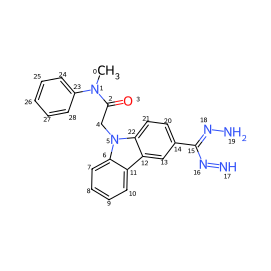 CN(C(=O)Cn1c2ccccc2c2cc(/C(N=N)=N/N)ccc21)c1ccccc1